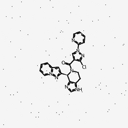 O=C(c1cn(-c2ccccn2)nc1Cl)N1CCc2[nH]cnc2[C@H]1c1cc2ccccn2n1